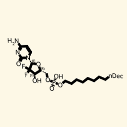 CCCCCCCCCCCCCCCCCCOP(=O)(O)OC[C@H]1O[C@@H](n2ccc(N)nc2=O)C(F)(F)[C@@H]1O